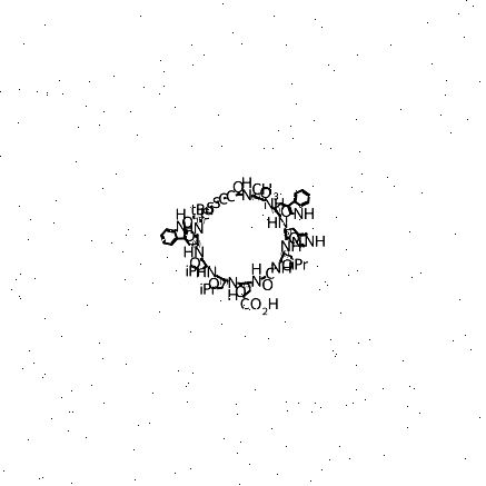 CC(C)C[C@@H]1NC(=O)[C@H](Cc2c[nH]cn2)NC(=O)[C@H](Cc2c[nH]c3ccccc23)NC(=O)[C@H](C)NC(=O)CCSSC[C@@H](C(=O)C(C)(C)C)NC(=O)[C@H](Cc2c[nH]c3ccccc23)NC(=O)C(C(C)C)NC(=O)[C@H](CC(C)C)NC(=O)[C@H](CCC(=O)O)NC(=O)CNC1=O